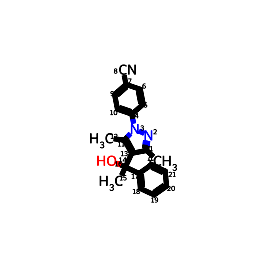 Cc1nn(-c2ccc(C#N)cc2)c(C)c1C(C)(O)c1ccccc1